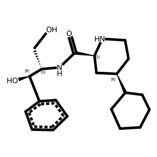 O=C(N[C@@H](CO)[C@H](O)c1ccccc1)[C@@H]1C[C@H](C2CCCCC2)CCN1